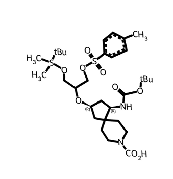 Cc1ccc(S(=O)(=O)OCC(COS(C)(C)C(C)(C)C)O[C@H]2C[C@@H](NC(=O)OC(C)(C)C)C3(CCN(C(=O)O)CC3)C2)cc1